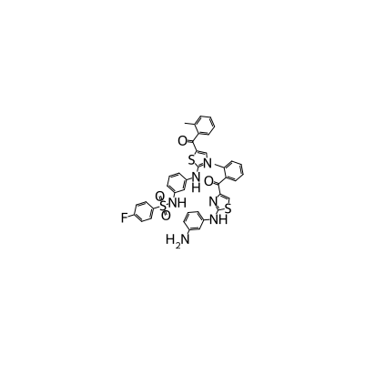 Cc1ccccc1C(=O)c1cnc(Nc2cccc(NS(=O)(=O)c3ccc(F)cc3)c2)s1.Cc1ccccc1C(=O)c1csc(Nc2cccc(N)c2)n1